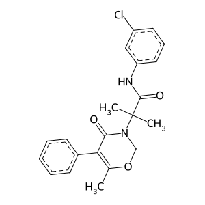 CC1=C(c2ccccc2)C(=O)N(C(C)(C)C(=O)Nc2cccc(Cl)c2)CO1